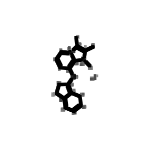 Cc1c(C)[n+]2cccc(OC3=C4CC=CC=C4CC3)c2n1C.[I-]